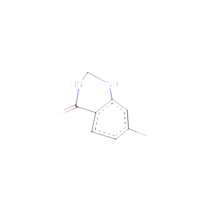 O=C1NCNc2cc(Cl)ccc21